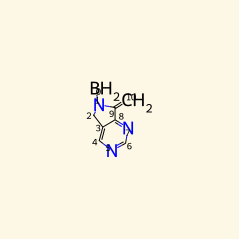 BN1Cc2cncnc2C1=C